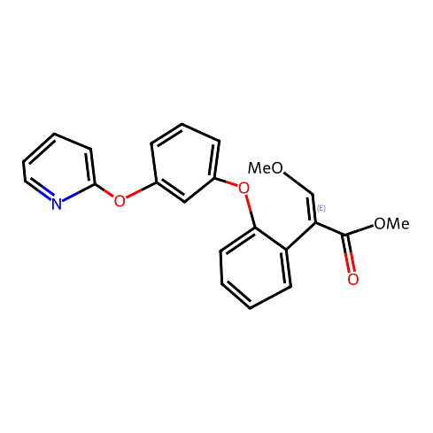 CO/C=C(/C(=O)OC)c1ccccc1Oc1cccc(Oc2ccccn2)c1